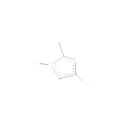 CCn1cc(OC(C)=O)nc1C